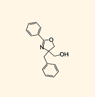 OCC1(Cc2ccccc2)COC(c2ccccc2)=N1